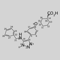 Cn1nnc(-c2ccc(O[C@H]3CCC[C@H](C(=O)O)C3)cc2)c1NCc1ccccc1